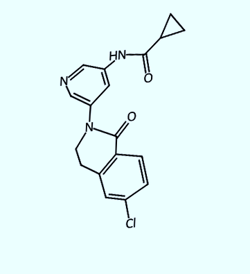 O=C(Nc1cncc(N2CCc3cc(Cl)ccc3C2=O)c1)C1CC1